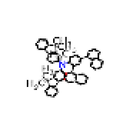 Cc1cc(-c2cccc3ccccc23)cc(-c2cccc3ccccc23)c1N(c1ccc2c(c1)C(C)(C)c1ccccc1-2)c1ccc2c(c1)C(C)(C)c1ccccc1-2